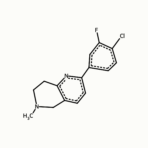 CN1CCc2nc(-c3ccc(Cl)c(F)c3)ccc2C1